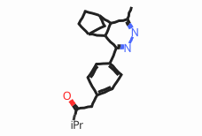 CC1=NN=C(c2ccc(CC(=O)C(C)C)cc2)C2C3CCC(C3)C12